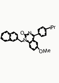 COc1ccc2c(c1)c(-c1ccc(C(C)C)cc1)nc(=O)n2Cc1ccc2ccccc2c1